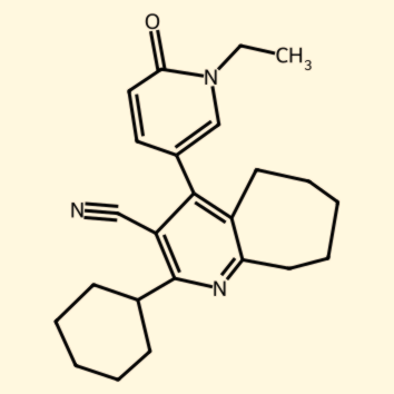 CCn1cc(-c2c(C#N)c(C3CCCCC3)nc3c2CCCCC3)ccc1=O